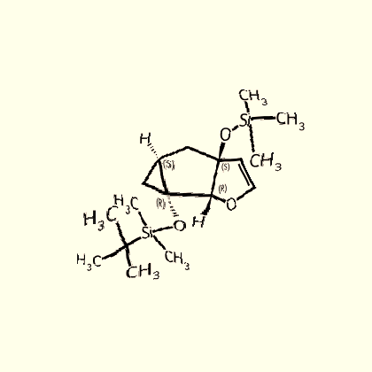 CC(C)(C)[Si](C)(C)O[C@]12C[C@H]1C[C@]1(O[Si](C)(C)C)C=CO[C@H]21